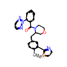 COc1ccc(CC2COCCN2C(=O)c2ccccc2-n2nccn2)cc1-c1nccs1